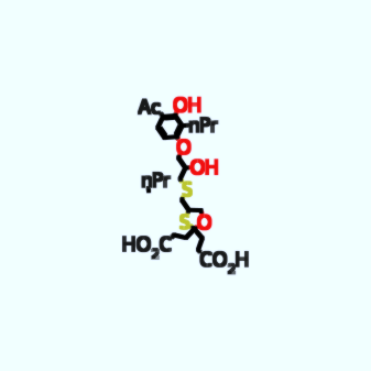 CCCC.CCCc1c(OCC(O)CSCC2COC(CCC(=O)O)(CCC(=O)O)S2)ccc(C(C)=O)c1O